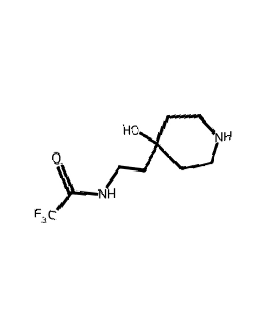 O=C(NCCC1(O)CCNCC1)C(F)(F)F